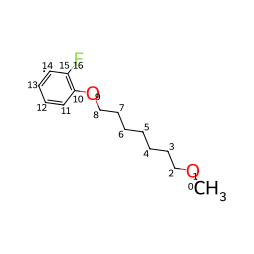 COCCCCCCCOc1ccc[c]c1F